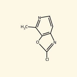 Cc1nccc2nc(Cl)oc12